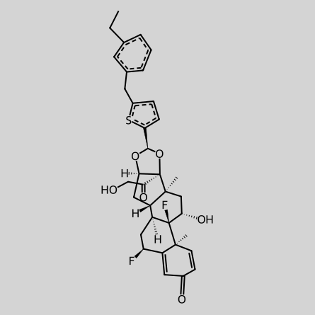 CCc1cccc(Cc2ccc([C@@H]3O[C@@H]4C[C@H]5[C@@H]6C[C@H](F)C7=CC(=O)C=C[C@]7(C)[C@@]6(F)[C@@H](O)C[C@]5(C)[C@]4(C(=O)CO)O3)s2)c1